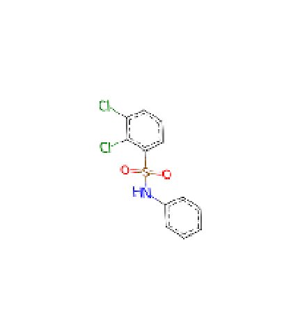 O=S(=O)(Nc1ccccc1)c1cccc(Cl)c1Cl